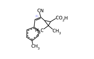 Cc1ccc(/C=C(/C#N)C2C(C(=O)O)C2(C)C)cc1